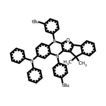 CC(C)(C)c1ccc(N2c3cc(N(c4ccccc4)c4ccccc4)ccc3B(c3cccc(C(C)(C)C)c3)c3oc4c(c32)C(C)(C)c2ccccc2-4)cc1